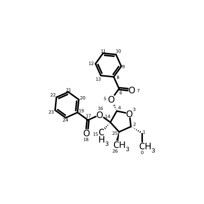 CC[C@H]1O[C@@H](OC(=O)c2ccccc2)[C@](C)(OC(=O)c2ccccc2)[C@@H]1C